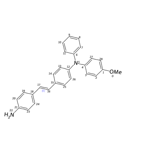 COc1ccc(N(c2ccccc2)c2ccc(/C=C/c3ccc(N)cc3)cc2)cc1